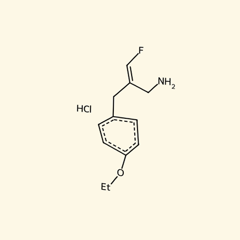 CCOc1ccc(CC(=CF)CN)cc1.Cl